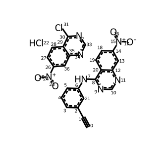 C#Cc1cccc(Nc2ncnc3cc([N+](=O)[O-])ccc23)c1.Cl.O=[N+]([O-])c1ccc2c(Cl)ncnc2c1